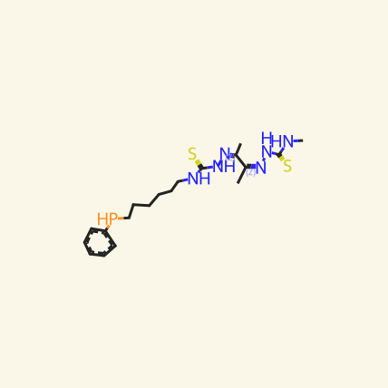 CNC(=S)N/N=C(C)\C(C)=N/NC(=S)NCCCCCCPc1ccccc1